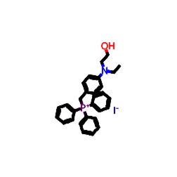 CCN(CCO)c1ccc(C[P+](c2ccccc2)(c2ccccc2)c2ccccc2)cc1.[I-]